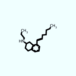 CCCCCC=Cc1cccc2c1CC(NCCC)CC2